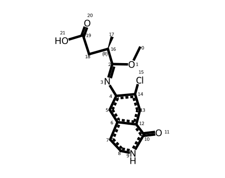 COC(=Nc1cc2cc[nH]c(=O)c2cc1Cl)[C@H](C)CC(=O)O